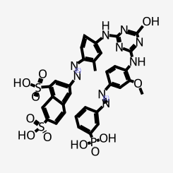 COc1cc(/N=N/c2cccc(P(=O)(O)O)c2)ccc1Nc1nc(O)nc(Nc2ccc(/N=N/c3cc(S(=O)(=O)O)c4cc(S(=O)(=O)O)ccc4c3)c(C)c2)n1